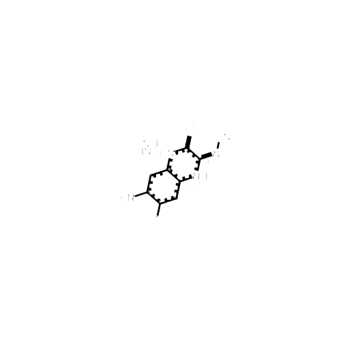 N#C/N=c1/[nH]c2cc(F)c([N+](=O)[O-])cc2[nH]c1=O.[NaH].[NaH]